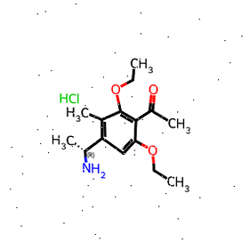 CCOc1cc([C@@H](C)N)c(C)c(OCC)c1C(C)=O.Cl